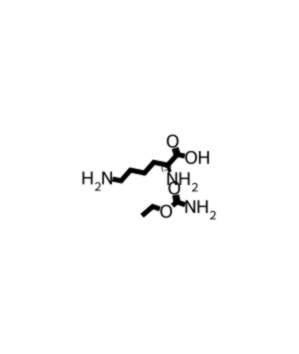 CCOC(N)=O.NCCCC[C@H](N)C(=O)O